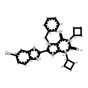 O=c1c2c(nc(-c3nc4cc(O)ccc4s3)n2Cc2ccccc2)n(C2CCC2)c(=O)n1C1CCC1